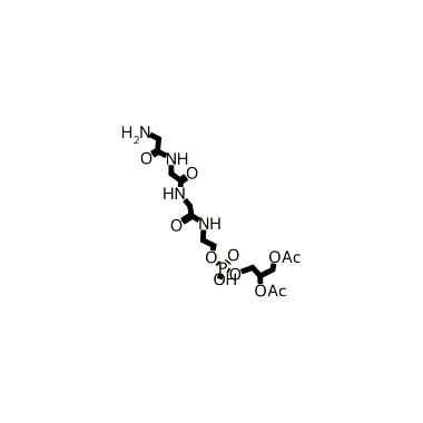 CC(=O)OCC(COP(=O)(O)OCCNC(=O)CNC(=O)CNC(=O)CN)OC(C)=O